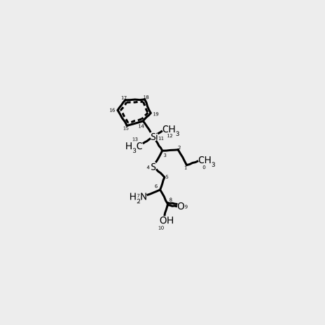 CCCC(SCC(N)C(=O)O)[Si](C)(C)c1ccccc1